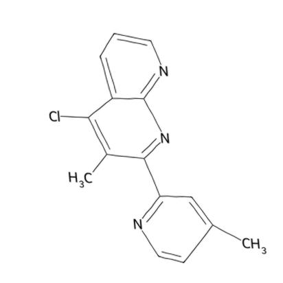 Cc1ccnc(-c2nc3ncccc3c(Cl)c2C)c1